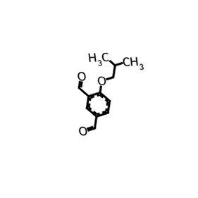 CC(C)COc1ccc(C=O)cc1C=O